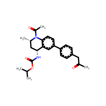 CC(=O)Cc1ccc(-c2ccc3c(c2)[C@H](NC(=O)OC(C)C)C[C@H](C)N3C(C)=O)cc1